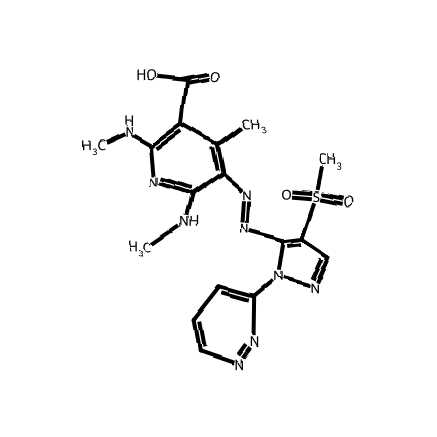 CNc1nc(NC)c(C(=O)O)c(C)c1/N=N/c1c(S(C)(=O)=O)cnn1-c1cccnn1